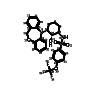 O=S(=O)(N[C@@H]1CCC[C@H](N2c3ccccc3COc3ccccc32)[C@H]1O)c1ccc(OC(F)(F)F)cc1